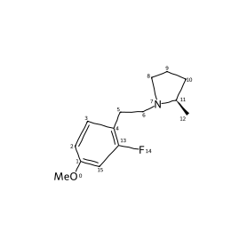 COc1ccc(CCN2CCC[C@H]2C)c(F)c1